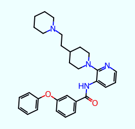 O=C(Nc1cccnc1N1CCC(CCN2CCCCC2)CC1)c1cccc(Oc2ccccc2)c1